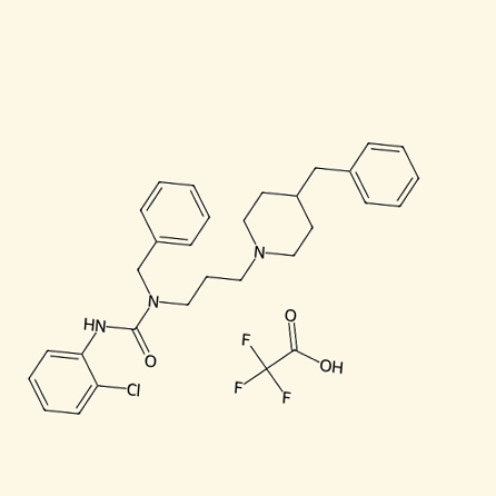 O=C(Nc1ccccc1Cl)N(CCCN1CCC(Cc2ccccc2)CC1)Cc1ccccc1.O=C(O)C(F)(F)F